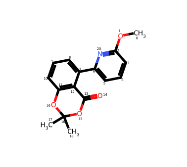 COc1cccc(-c2cccc3c2C(=O)OC(C)(C)O3)n1